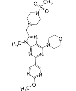 COc1ncc(-c2nc(N3CCOCC3)c3nc(CN4CCN(S(C)(=O)=O)CC4)n(C)c3n2)cn1